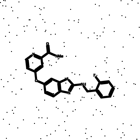 CNC(=O)c1cc(Oc2ccc3nc(NCc4ccccc4F)sc3c2)ccn1